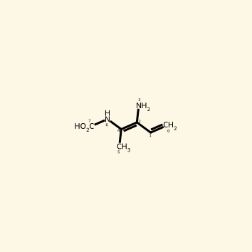 C=C/C(N)=C(\C)NC(=O)O